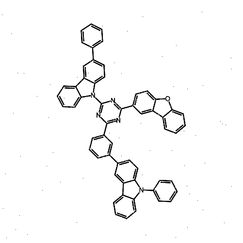 c1ccc(-c2ccc3c(c2)c2ccccc2n3-c2nc(-c3cccc(-c4ccc5c(c4)c4ccccc4n5-c4ccccc4)c3)nc(-c3ccc4oc5ccccc5c4c3)n2)cc1